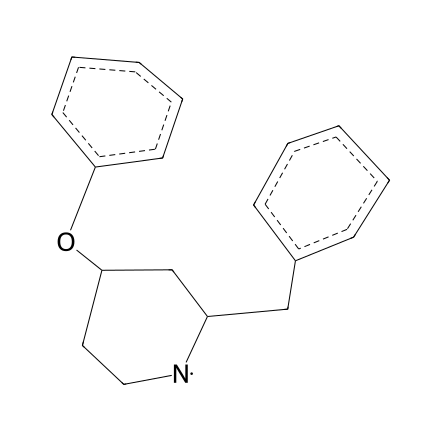 c1ccc(CC2CC(Oc3ccccc3)CC[N]2)cc1